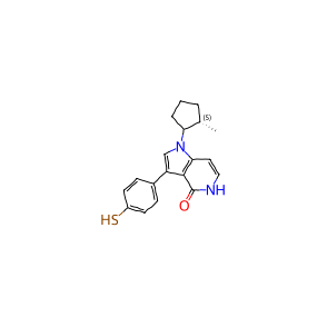 C[C@H]1CCCC1n1cc(-c2ccc(S)cc2)c2c(=O)[nH]ccc21